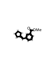 COC(=O)c1cccc(C=C2CCCC2)c1